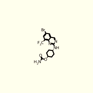 NC(=O)O[C@H]1CC[C@H](Nc2ncc3cc(Br)cc(C(F)(F)F)c3n2)CC1